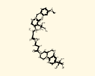 COc1ccc(Cn2ncc(N[C@@H](C)COCCC(=O)N3CCN4c5ncc(C(F)(F)F)cc5OCC4C3)c(C(F)(F)F)c2=O)cc1